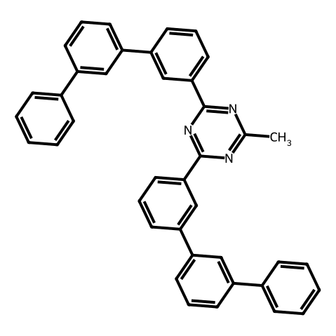 Cc1nc(-c2cccc(-c3cccc(-c4ccccc4)c3)c2)nc(-c2cccc(-c3cccc(-c4ccccc4)c3)c2)n1